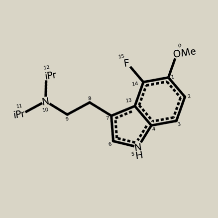 COc1ccc2[nH]cc(CCN(C(C)C)C(C)C)c2c1F